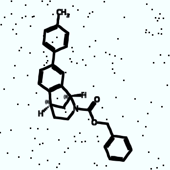 Cc1ccc(-c2ccc3c(c2)[C@H]2C[C@H]3CCN2C(=O)OCc2ccccc2)cc1